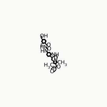 Cc1[nH]c(/C=C2\C(=O)Nc3cc(NC(=O)NC(=O)c4ccc(CO)cc4F)ccc32)c(C)c1C(=O)N1CCOCC1